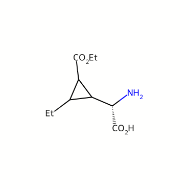 CCOC(=O)C1C(CC)C1[C@H](N)C(=O)O